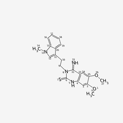 COc1cc2[nH]c(=S)n(CCc3cn(C)c4ccccc34)c(=N)c2cc1OC